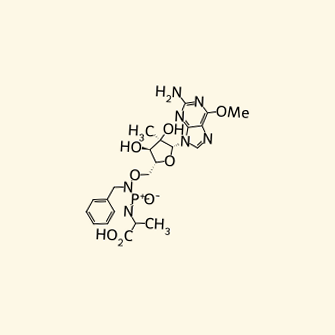 COc1nc(N)nc2c1ncn2[C@@H]1O[C@H](CON(Cc2ccccc2)/[P+]([O-])=N/C(C)C(=O)O)[C@@H](O)[C@@]1(C)O